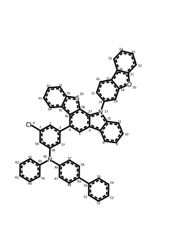 Clc1cc(-c2cc3c4ccccc4n(-c4ccc5c(c4)oc4ccccc45)c3c3sc4ccccc4c23)cc(N(c2ccccc2)c2ccc(-c3ccccc3)cc2)c1